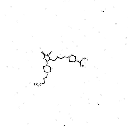 CN1C(=O)OC(N2CCN(CCCC(=O)O)CC2)C1CCCCN1CCN(C(=N)N)CC1